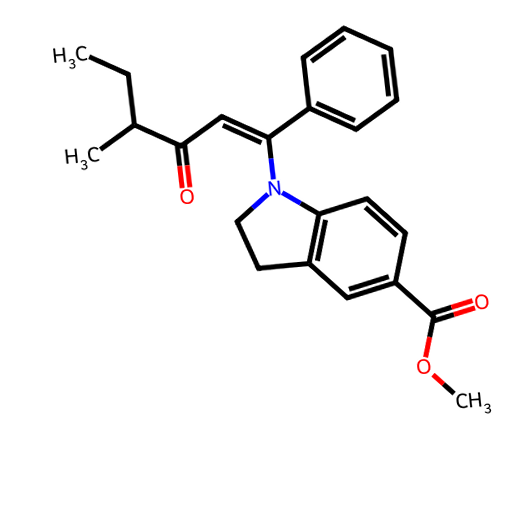 CCC(C)C(=O)/C=C(/c1ccccc1)N1CCc2cc(C(=O)OC)ccc21